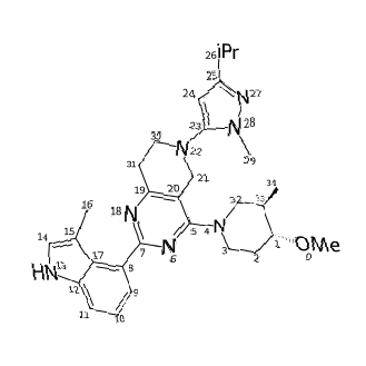 CO[C@@H]1CCN(c2nc(-c3cccc4[nH]cc(C)c34)nc3c2CN(c2cc(C(C)C)nn2C)CC3)C[C@H]1C